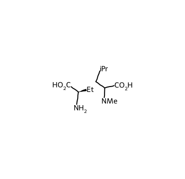 CC[C@@H](N)C(=O)O.CNC(CC(C)C)C(=O)O